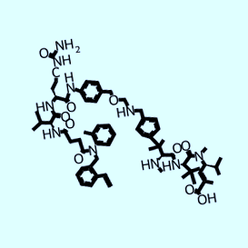 C=Cc1ccccc1CN(C(=O)CCC(=O)N[C@H](C(=O)N[C@@H](CCCNC(N)=O)C(=O)Nc1ccc(COCNCc2ccc(C(C)(C)[C@H](NC)C(=O)N[C@H](C(=O)N(C)[C@H](/C=C(\C)C(=O)O)C(C)C)C(C)(C)C)cc2)cc1)C(C)C)c1ccccc1C